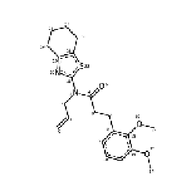 C=CCN(C(=O)CCc1cccc(OC)c1OC)c1nc2c(s1)CCCC2